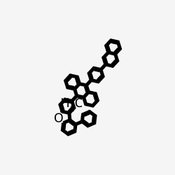 CC12CCC=CC1=C(c1ccc(-c3ccc4ccccc4c3)cc1)c1ccccc1C2c1ccc2oc3cccc(-c4ccccc4)c3c2c1